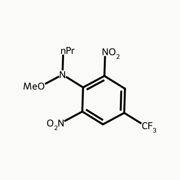 CCCN(OC)c1c([N+](=O)[O-])cc(C(F)(F)F)cc1[N+](=O)[O-]